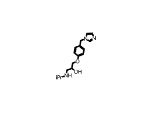 CC(C)NCC(O)COc1ccc(Cn2ccnc2)cc1